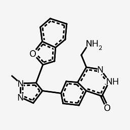 Cn1ncc(-c2ccc3c(=O)[nH]nc(CN)c3c2)c1-c1cc2ccccc2o1